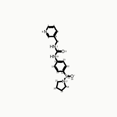 O=C(NCc1cccnc1)Nc1ccc([S+]([O-])N2CCCC2)cc1